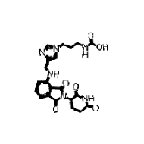 O=C(O)NCCCn1cnc(CNc2cccc3c2C(=O)N(C2CCC(=O)NC2=O)C3=O)c1